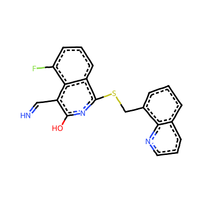 N=Cc1c(O)nc(SCc2cccc3cccnc23)c2cccc(F)c12